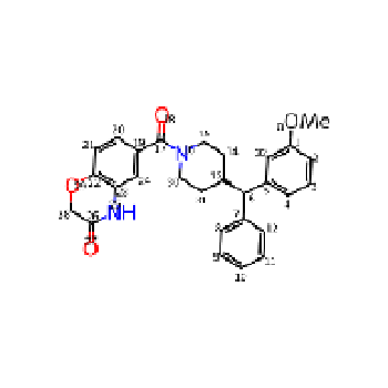 COc1cccc([C@@H](c2ccccc2)C2CCN(C(=O)c3ccc4c(c3)NC(=O)CO4)CC2)c1